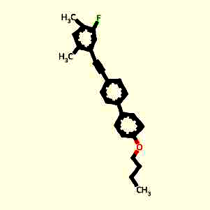 CCCCOc1ccc(-c2ccc(C#Cc3cc(F)c(C)cc3C)cc2)cc1